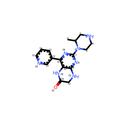 CC1CNCCN1c1nc2c(c(-c3cccnc3)n1)NC(=O)CN2